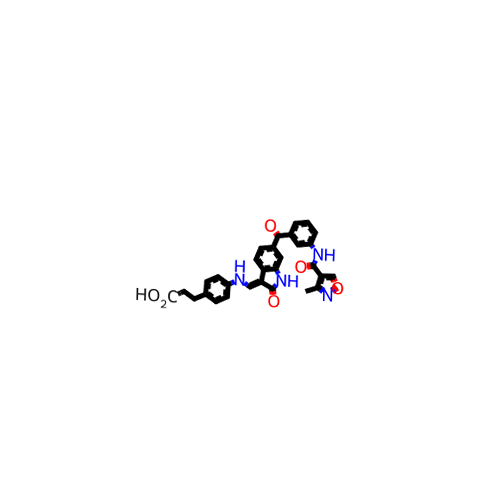 Cc1nocc1C(=O)Nc1cccc(C(=O)c2ccc3c(c2)NC(=O)C3=CNc2ccc(CCC(=O)O)cc2)c1